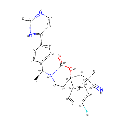 Cc1nccc(-c2ccc([C@H](C)N3CC[C@](CC(C)(C)C#N)(c4ccc(F)cc4)OC3=O)cc2)n1